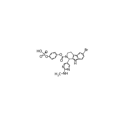 CNc1ncc(C2c3[nH]c4ccc(Br)cc4c3CCN2C(=O)Oc2ccc(OS(=O)(=O)O)cc2)cn1